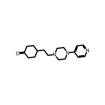 O=C1CCC(CCN2CCN(c3ccncc3)CC2)CC1